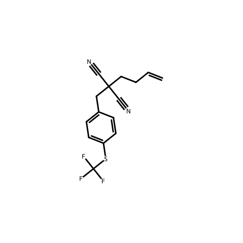 C=CCCC(C#N)(C#N)Cc1ccc(SC(F)(F)F)cc1